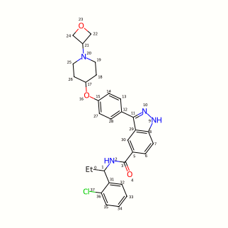 CCC(NC(=O)c1ccc2[nH]nc(-c3ccc(OC4CCN(C5COC5)CC4)cc3)c2c1)c1ccccc1Cl